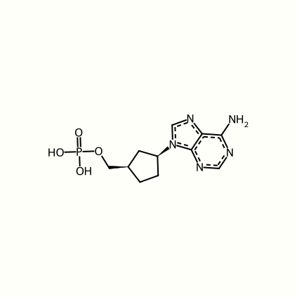 Nc1ncnc2c1ncn2[C@H]1CC[C@@H](COP(=O)(O)O)C1